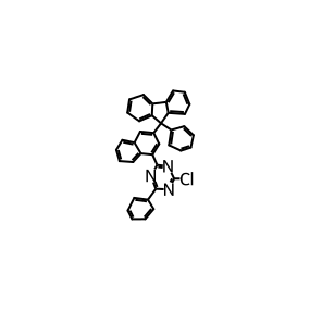 Clc1nc(-c2ccccc2)nc(-c2cc(C3(c4ccccc4)c4ccccc4-c4ccccc43)cc3ccccc23)n1